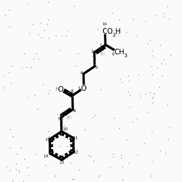 C/C(=C\CCOC(=O)/C=C/c1ccccc1)C(=O)O